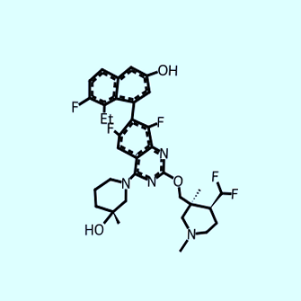 CCc1c(F)ccc2cc(O)cc(-c3c(F)cc4c(N5CCC[C@@](C)(O)C5)nc(OC[C@]5(C)CN(C)CC[C@@H]5C(F)F)nc4c3F)c12